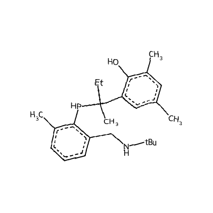 CCC(C)(Pc1c(C)cccc1CNC(C)(C)C)c1cc(C)cc(C)c1O